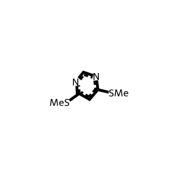 CSc1cc(SC)ncn1